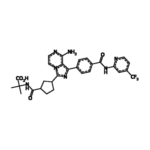 CC(C)(NC(=O)C1CCC(c2nc(-c3ccc(C(=O)Nc4cc(C(F)(F)F)ccn4)cc3)c3c(N)nccn23)C1)C(=O)O